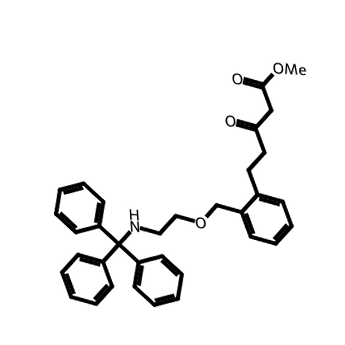 COC(=O)CC(=O)CCc1ccccc1COCCNC(c1ccccc1)(c1ccccc1)c1ccccc1